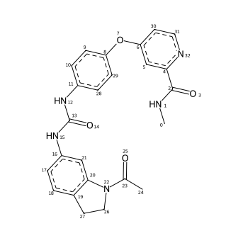 CNC(=O)c1cc(Oc2ccc(NC(=O)Nc3ccc4c(c3)N(C(C)=O)CC4)cc2)ccn1